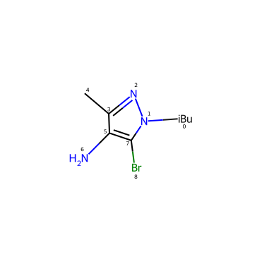 CCC(C)n1nc(C)c(N)c1Br